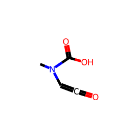 CN(C=C=O)C(=O)O